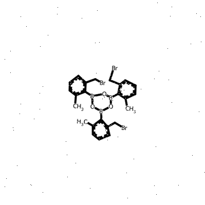 Cc1cccc(CBr)c1B1OB(c2c(C)cccc2CBr)OB(c2c(C)cccc2CBr)O1